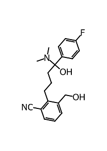 CN(C)C(O)(CCCc1c(C#N)cccc1CO)c1ccc(F)cc1